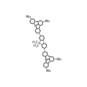 CC(C)(C)c1ccc2c(c1)c1cc(C(C)(C)C)cc3c4cc(-c5ccc6c(c5)C(C)(C)c5cc(-c7ccc8c(c7)c7cc(C(C)(C)C)cc9c%10cc(C(C)(C)C)ccc%10n8c79)ccc5-6)ccc4n2c31